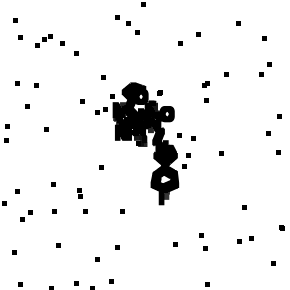 CN1C(=O)N(CCN2CC=C(c3ccc(F)cc3)C2)C2N=C3C(=C(c4ccco4)N=CN3N)N21